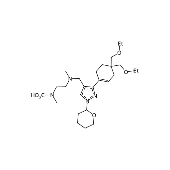 CCOCC1(COCC)CC=C(c2nn(C3CCCCO3)cc2CN(C)CCN(C)C(=O)O)CC1